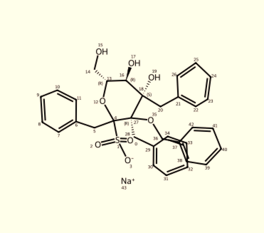 O=S(=O)([O-])C1(Cc2ccccc2)O[C@H](CO)[C@@H](O)[C@@](O)(Cc2ccccc2)[C@@]1(Cc1ccccc1)OCc1ccccc1.[Na+]